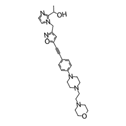 CC(O)c1nccn1Cc1cc(C#Cc2ccc(N3CCN(CCN4CCOCC4)CC3)cc2)on1